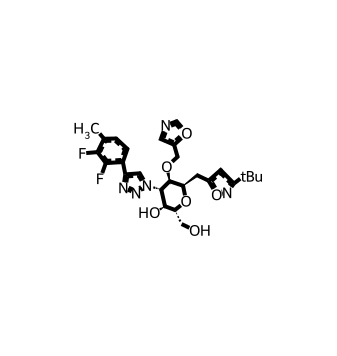 Cc1ccc(-c2cn([C@H]3[C@@H](O)[C@@H](CO)O[C@H](Cc4cc(C(C)(C)C)no4)[C@@H]3OCc3cnco3)nn2)c(F)c1F